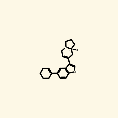 C1=C(c2ccc3[nH]cc(C4=CCN5CCC[C@@H]5C4)c3c2)CCCC1